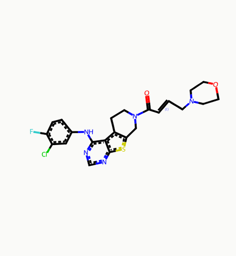 O=C(/C=C/CN1CCOCC1)N1CCc2c(sc3ncnc(Nc4ccc(F)c(Cl)c4)c23)C1